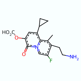 Cc1c(CCN)c(F)cn2c(=O)c(OC(=O)O)cc(C3CC3)c12